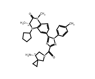 Cc1ccc(-n2nc(C(=O)N3C[C@@H](N)C4(CC4)C3)nc2-c2ccc3c(c2)N(C2CCCC2)[C@H](C)C(=O)N3C)cc1